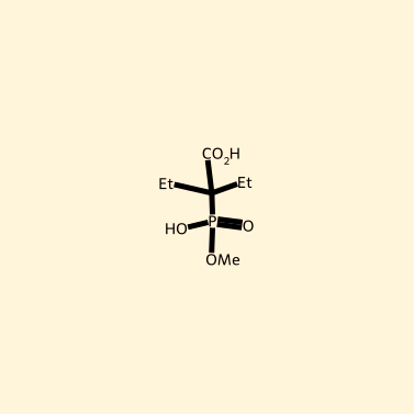 CCC(CC)(C(=O)O)P(=O)(O)OC